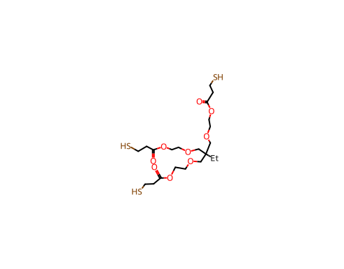 CCC(COCCOC(=O)CCS)(COCCOC(=O)CCS)COCCOC(=O)CCS